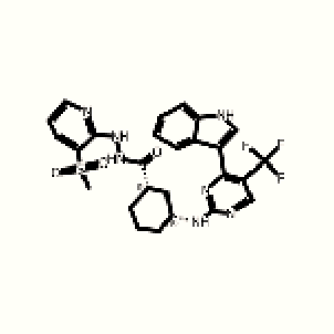 CS(=O)(=O)c1cccnc1NNC(=O)[C@H]1CCC[C@@H](Nc2ncc(C(F)(F)F)c(-c3c[nH]c4ccccc34)n2)C1